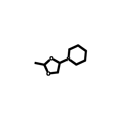 CC1OCC(N2CCCCC2)O1